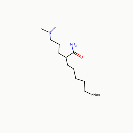 CCCCCCCCCCCCCCC(CCCN(C)C)C(N)=O